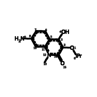 CC(C)Oc1c(O)c2ccc(N)cc2n(C)c1=O